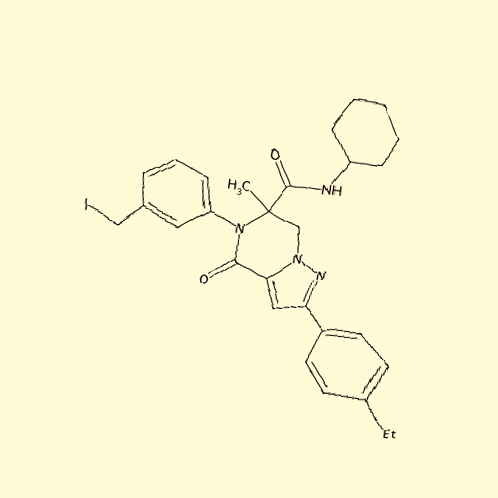 CCc1ccc(-c2cc3n(n2)CC(C)(C(=O)NC2CCCCC2)N(c2cccc(CI)c2)C3=O)cc1